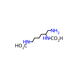 NCC(CCCCNC(=O)O)NC(=O)O